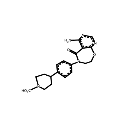 Nc1ncnc2c1C(=O)N(c1ccc(C3CCN(C(=O)O)CC3)cc1)CCO2